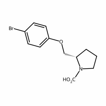 O=C(O)N1CCC[C@H]1COc1ccc(Br)cc1